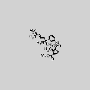 C=C(N)SCCC(C)(N)c1cccc(NS(=O)(=O)C2CC=C(C(=O)OC)N2C)c1